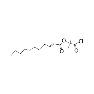 CCCCCCCCC=CC(=O)OC(C)(C)C(=O)Cl